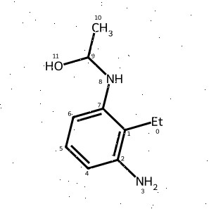 CCc1c(N)cccc1NC(C)O